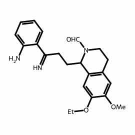 CCOc1cc2c(cc1OC)CCN(C=O)C2CCC(=N)c1ccccc1N